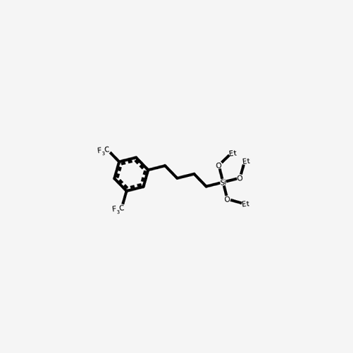 CCO[Si](CCCCc1cc(C(F)(F)F)cc(C(F)(F)F)c1)(OCC)OCC